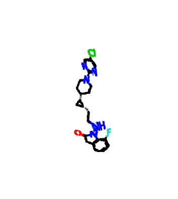 O=C1Cc2cccc(F)c2N1NCC[C@@H]1C[C@@H]1C1CCN(c2ncc(Cl)cn2)CC1